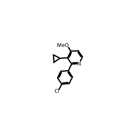 COc1ccnc(-c2ccc(Cl)cc2)c1C1CC1